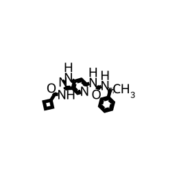 C[C@@H](NC(=O)Nc1cc2[nH]nc(NC(=O)C3CCC3)c2cn1)c1ccccc1